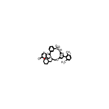 Cc1cccc(C)c1-c1cc2nc(n1)NS(=O)(=O)c1cccc(c1)C(=O)N(Cc1cncc(Cl)n1)[C@H](CC1CCCCC1)CO2